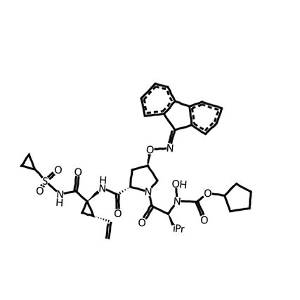 C=C[C@@H]1C[C@]1(NC(=O)[C@@H]1C[C@@H](ON=C2c3ccccc3-c3ccccc32)CN1C(=O)[C@H](C(C)C)N(O)C(=O)OC1CCCC1)C(=O)NS(=O)(=O)C1CC1